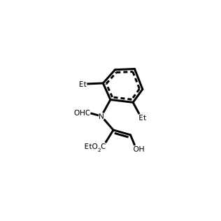 CCOC(=O)C(=CO)N(C=O)c1c(CC)cccc1CC